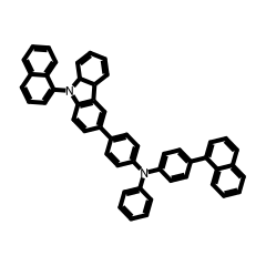 C1=CC2c3cc(-c4ccc(N(c5ccccc5)c5ccc(-c6cccc7ccccc67)cc5)cc4)ccc3N(c3cccc4ccccc34)C2C=C1